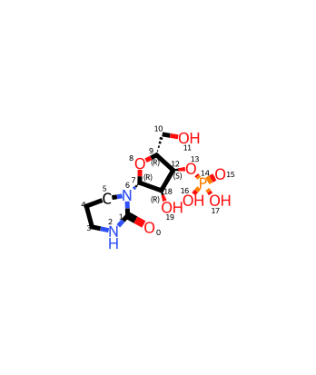 O=C1NCCCN1[C@@H]1O[C@H](CO)[C@@H](OP(=O)(O)O)[C@H]1O